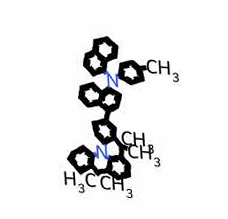 Cc1ccc(N(c2cccc3ccccc23)c2ccc(-c3ccc4c(c3)C(C)(C)c3cccc5c3N4c3ccccc3C5(C)C)c3ccccc23)cc1